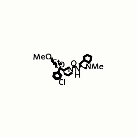 CCO[C@](CCCCOC)(c1cccc(Cl)c1)[C@@H]1CCCN(C(=O)N[C@H](CNC)CC2CCCCC2)C1